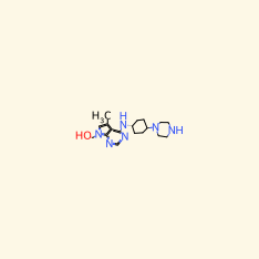 Cc1cn(CO)c2ncnc(N[C@H]3CC[C@H](N4CCNCC4)CC3)c12